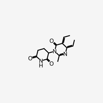 C/C=c1/nc(C)n(C2CCC(=O)NC2=O)c(=O)/c1=C/C